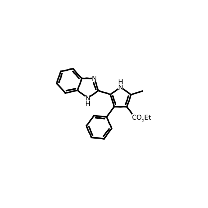 CCOC(=O)c1c(C)[nH]c(-c2nc3ccccc3[nH]2)c1-c1ccccc1